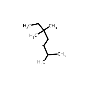 CCC(C)(C)C[CH]C(C)C